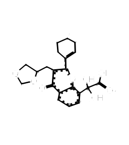 CC(C)(C(=O)O)c1cccc2c(=O)c(CC3COCO3)c(C3=CCCCC3)oc12